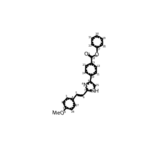 COc1ccc(/C=C/c2nc(-c3ccc(C(=O)Oc4ccccc4)cc3)c[nH]2)cc1